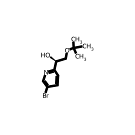 CC(C)(C)OC[C@H](O)c1ccc(Br)cn1